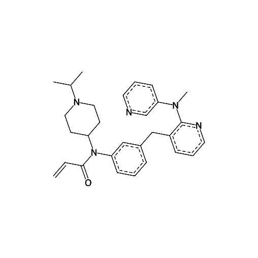 C=CC(=O)N(c1cccc(Cc2cccnc2N(C)c2cccnc2)c1)C1CCN(C(C)C)CC1